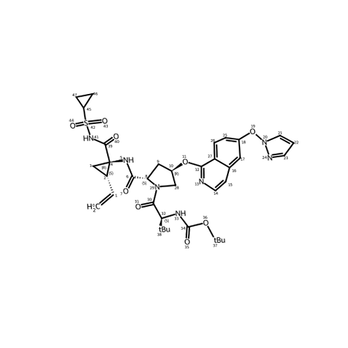 C=C[C@@H]1C[C@]1(NC(=O)[C@@H]1C[C@@H](Oc2nccc3cc(On4cccn4)ccc23)CN1C(=O)[C@@H](NC(=O)OC(C)(C)C)C(C)(C)C)C(=O)NS(=O)(=O)C1CC1